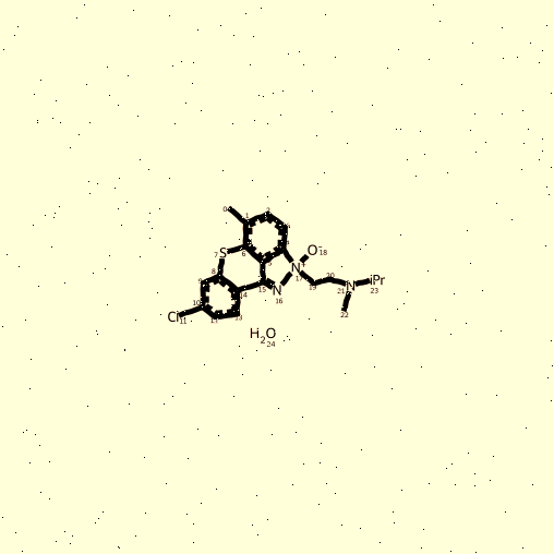 Cc1ccc2c3c1Sc1cc(Cl)ccc1C3=N[N+]2([O-])CCN(C)C(C)C.O